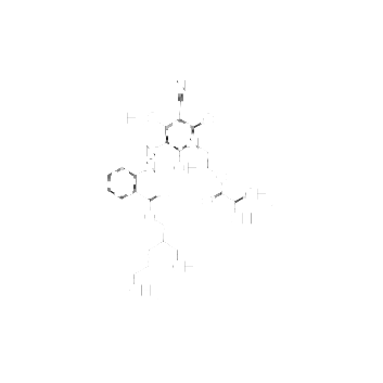 C=C(C)C(=O)OCCn1c(O)c(/N=N/c2ccccc2C(=O)OCC(CC)CCCC)c(C)c(C#N)c1=O